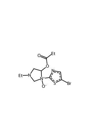 CCC(=O)OC1CN(CC)C[N+]1([O-])c1ncc(Br)s1